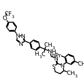 CCCc1ccc(C)cc1N1/C(=N/CNC(C)(C)c2ccc(-c3ncn(-c4ccc(OC(F)(F)F)cc4)n3)cc2)SCCC1C